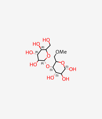 COCC1O[C@H](O)C(O)[C@H](O)[C@@H]1O[C@H]1OC(CO)[C@H](O)[C@@H](O)C1O